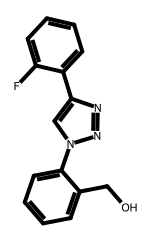 OCc1ccccc1-n1cc(-c2ccccc2F)nn1